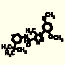 COc1ccc(OC)c(-n2nnc(C(=O)Nc3c[c]cc(C(C)(C)C)c3)c2C)c1